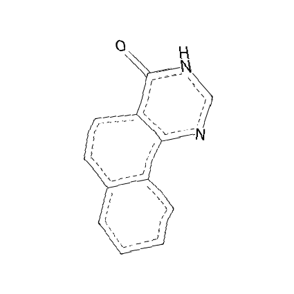 O=c1[nH]cnc2c1ccc1ccccc12